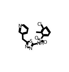 Cc1c(Cl)cccc1S(=O)(=O)Nc1nnc(Cc2cccnc2)s1